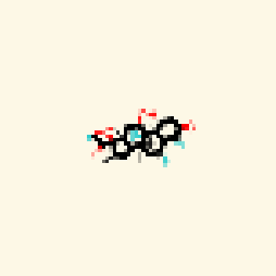 C[C@@H]1C[C@H]2[C@@H]3C[C@H](F)C4=C(F)C(=O)C=C[C@]4(C)[C@@]3(F)[C@@H](O)C[C@]2(C)[C@@]1(O)C(=O)CF